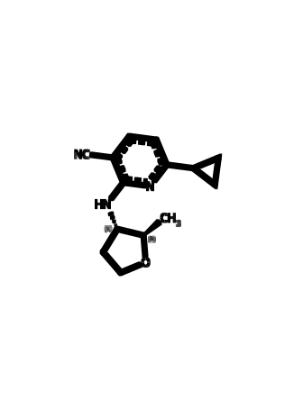 C[C@H]1OCC[C@@H]1Nc1nc(C2CC2)ccc1C#N